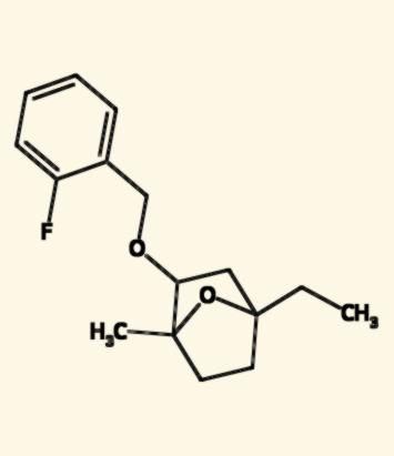 CCC12CCC(C)(O1)C(OCc1ccccc1F)C2